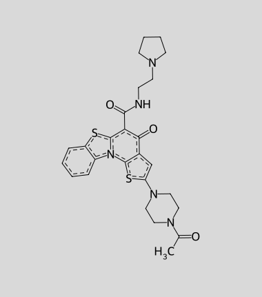 CC(=O)N1CCN(c2cc3c(=O)c(C(=O)NCCN4CCCC4)c4sc5ccccc5n4c3s2)CC1